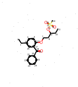 CCc1ccc(OCCC(CC)OS(C)(=O)=O)c(C(=O)c2ccccc2)c1